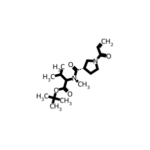 C=CC(=O)N1CC[C@H](C(=O)N(C)C(C(=O)OC(C)(C)C)C(C)C)C1